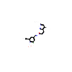 C#Cc1cc(CNC(=O)/C=C\c2cnc(OC)cc2C(F)(F)F)cc(F)c1NS(C)(=O)=O